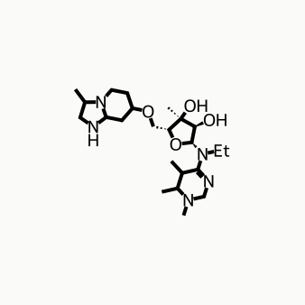 CCN(C1=NCN(C)C(C)C1C)[C@@H]1O[C@H](COC2CCN3C(C)CNC3C2)[C@@](C)(O)[C@H]1O